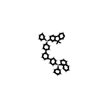 CC1(C)c2ccccc2-c2ccc(N(c3ccccc3)c3ccc(-c4cccc(-c5ccc(N(c6ccccc6)c6cccc7ccccc67)cc5)c4)cc3)cc21